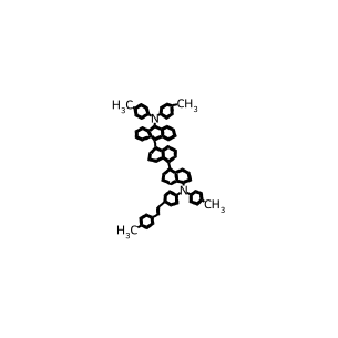 Cc1ccc(/C=C/c2ccc(N(c3ccc(C)cc3)c3cccc4c(-c5cccc6c(-c7c8ccccc8c(N(c8ccc(C)cc8)c8ccc(C)cc8)c8ccccc78)cccc56)cccc34)cc2)cc1